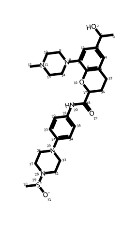 CC(O)c1cc2c(c(N3CCN(C)CC3)c1)OC(C(=O)Nc1ccc(N3CCN([S+](C)[O-])CC3)cc1)CC2